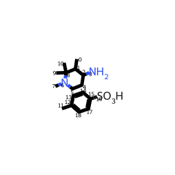 CC1C(N)CCN(C)C1(C)C.Cc1ccc(S(=O)(=O)O)cc1